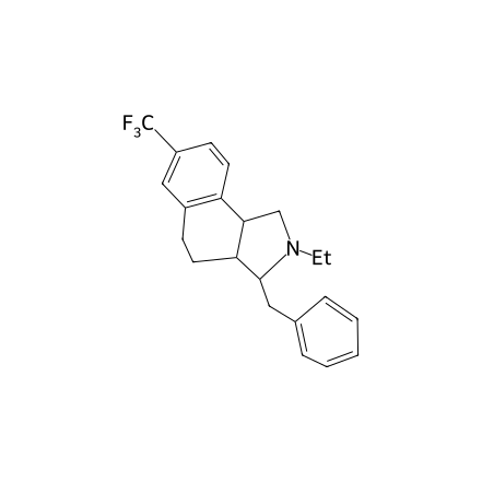 CCN1CC2c3ccc(C(F)(F)F)cc3CCC2C1Cc1ccccc1